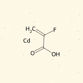 C=C(F)C(=O)O.[Cd]